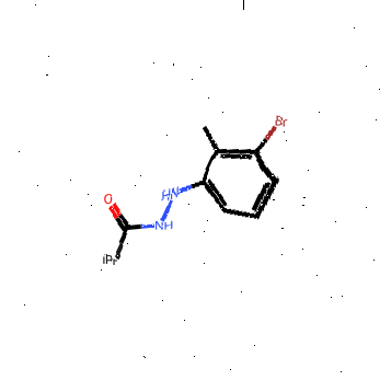 Cc1c(Br)cccc1NNC(=O)C(C)C